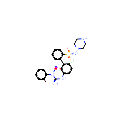 N#CN(C(=N)Nc1ccc(Cl)c(-c2ccccc2S(=O)(=O)NN2CCNCC2)c1O)c1ccccc1Br